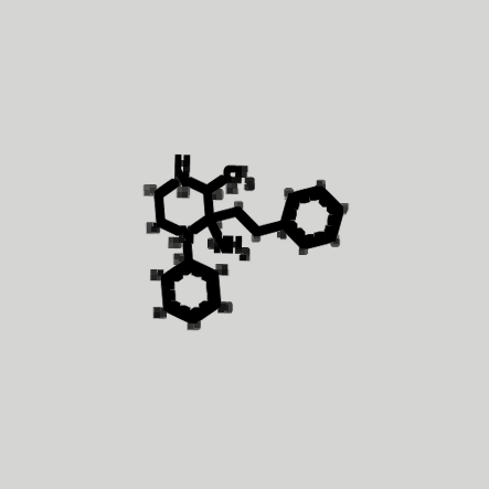 NC1(CCc2ccccc2)C(C(F)(F)F)NCCN1c1ccccc1